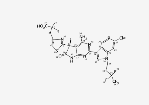 CC(C)(Cc1csc([C@@]2(C)C(=O)Nc3nc(-c4nn(CCC(F)(F)C(F)(F)F)c5cc(Cl)ccc45)nc(N)c32)n1)C(=O)O